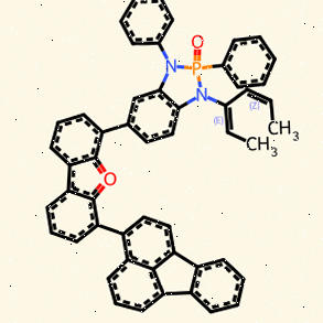 C/C=C\C(=C/C)N1c2ccc(-c3cccc4c3oc3c(-c5ccc6c7c(cccc57)-c5ccccc5-6)cccc34)cc2N(c2ccccc2)P1(=O)c1ccccc1